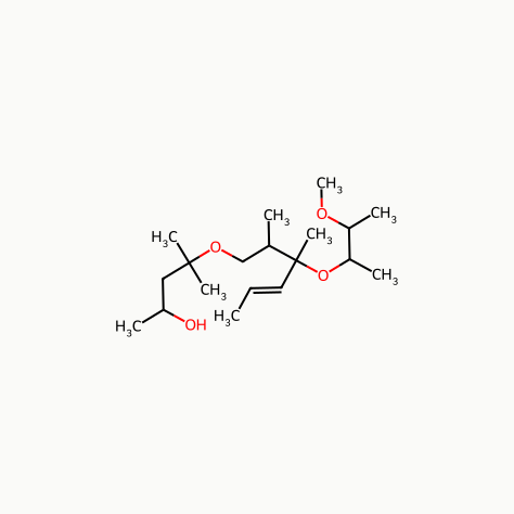 CC=CC(C)(OC(C)C(C)OC)C(C)COC(C)(C)CC(C)O